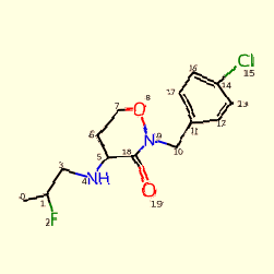 CC(F)CNC1CCON(Cc2ccc(Cl)cc2)C1=O